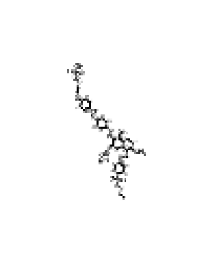 CCCCS(=O)(=O)c1ccc(N=Nc2c(N)ccc3c(O)c(N=Nc4ccc(N=Nc5ccc(SC#COOS(=O)(=O)O)cc5)cc4)c(SOOO)cc23)cc1